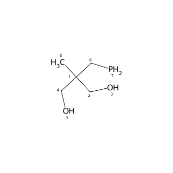 CC(CO)(CO)CP